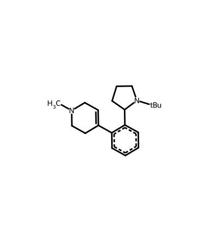 CN1CC=C(c2ccccc2C2CCCN2C(C)(C)C)CC1